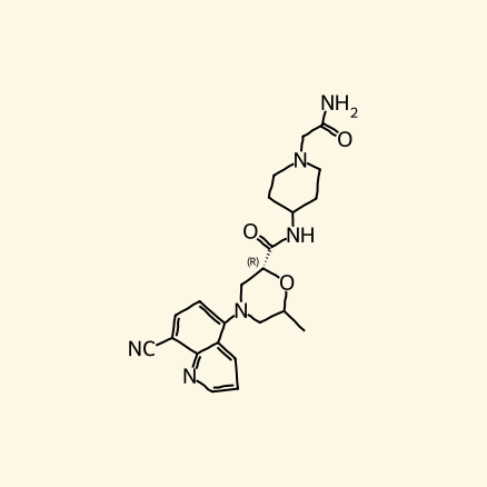 CC1CN(c2ccc(C#N)c3ncccc23)C[C@H](C(=O)NC2CCN(CC(N)=O)CC2)O1